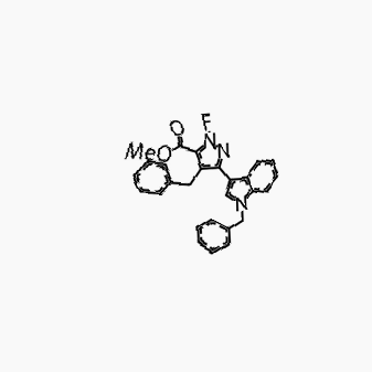 COC(=O)c1c(Cc2ccccc2)c(-c2cn(Cc3ccccc3)c3ccccc23)nn1F